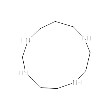 C1CNCCNCCNCNC1